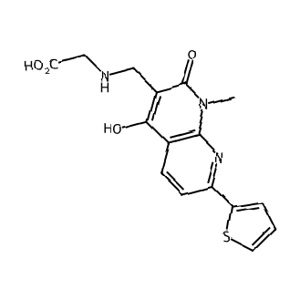 Cn1c(=O)c(CNCC(=O)O)c(O)c2ccc(-c3cccs3)nc21